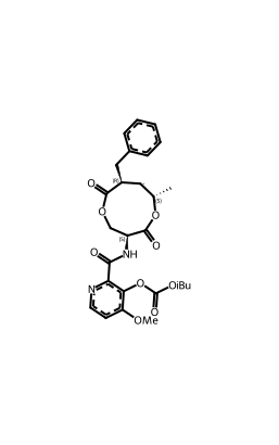 COc1ccnc(C(=O)N[C@H]2COC(=O)[C@@H](Cc3ccccc3)[CH][C@H](C)OC2=O)c1OC(=O)OCC(C)C